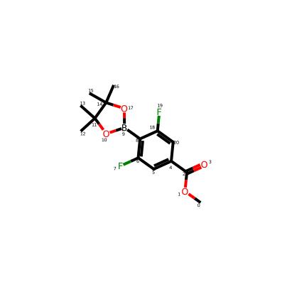 COC(=O)c1cc(F)c(B2OC(C)(C)C(C)(C)O2)c(F)c1